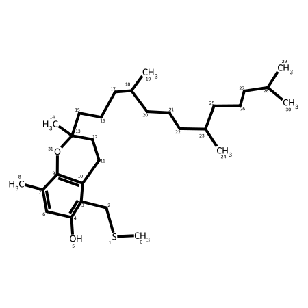 CSCc1c(O)cc(C)c2c1CCC(C)(CCCC(C)CCCC(C)CCCC(C)C)O2